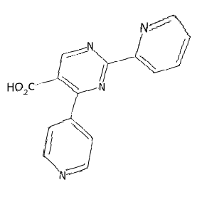 O=C(O)c1cnc(-c2ccccn2)nc1-c1ccncc1